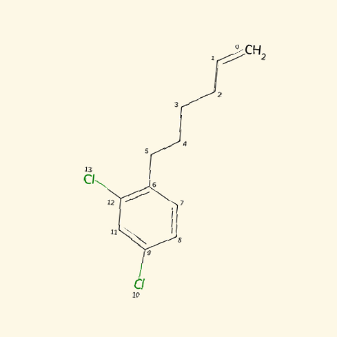 C=CCCCCc1ccc(Cl)cc1Cl